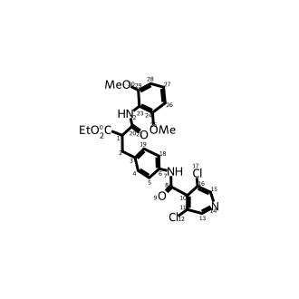 CCOC(=O)C(Cc1ccc(NC(=O)c2c(Cl)cncc2Cl)cc1)C(=O)Nc1c(OC)cccc1OC